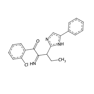 CCC(C(=N)C(=O)c1ccccc1Cl)c1ncc(-c2ccccc2)[nH]1